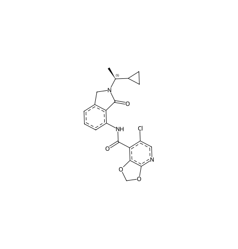 C[C@@H](C1CC1)N1Cc2cccc(NC(=O)c3c(Cl)cnc4c3OCO4)c2C1=O